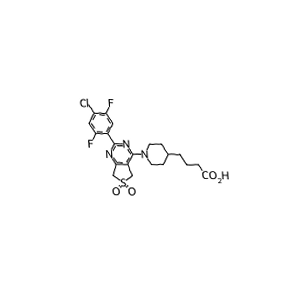 O=C(O)CCCC1CCN(c2nc(-c3cc(F)c(Cl)cc3F)nc3c2CS(=O)(=O)C3)CC1